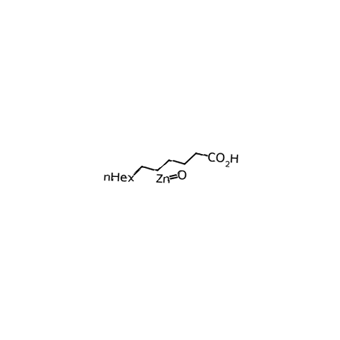 CCCCCCCCCCCC(=O)O.[O]=[Zn]